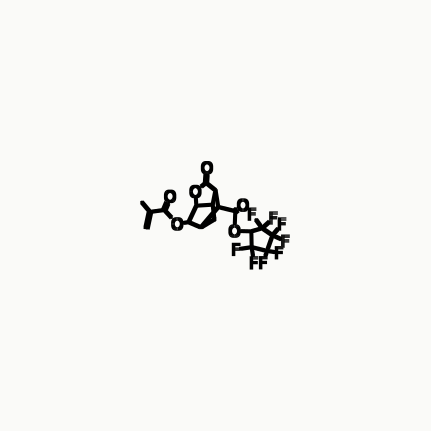 C=C(C)C(=O)OC1C2CC3C1OC(=O)C3C2C(=O)OC1C(F)(F)C(F)(F)C(F)(F)C1(F)F